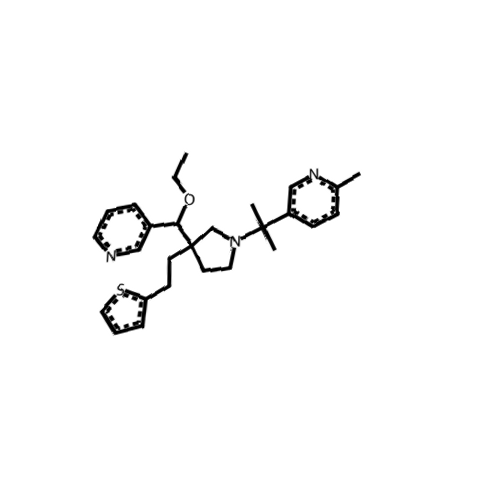 CCOC(c1cccnc1)C1(CCc2cccs2)CCN(C(C)(C)c2ccc(C)nc2)C1